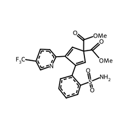 COC(=O)C1(C(=O)OC)C=C(c2ccc(C(F)(F)F)cn2)C(c2ccccc2S(N)(=O)=O)=C1